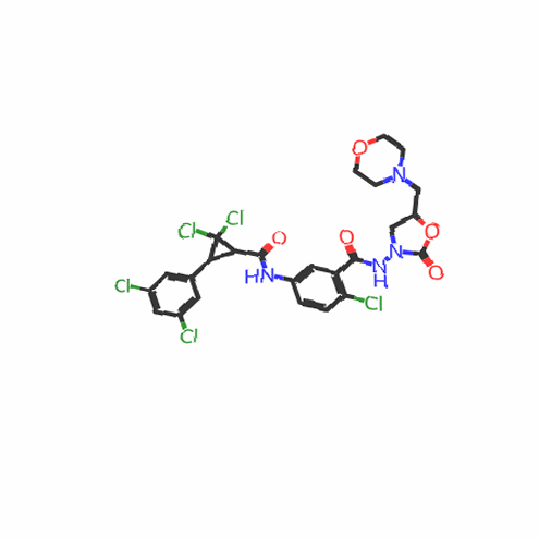 O=C(NN1CC(CN2CCOCC2)OC1=O)c1cc(NC(=O)C2C(c3cc(Cl)cc(Cl)c3)C2(Cl)Cl)ccc1Cl